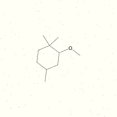 COC1CC(C)CCC1(C)C